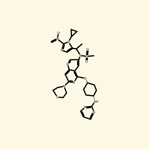 C=[N+]([O-])c1ncc(C(C)N(c2cnc3cc(N4CCOCC4)nc(O[C@H]4CC[C@@H](Nc5ncccn5)CC4)c3c2)S(C)(=O)=O)n1C1CC1